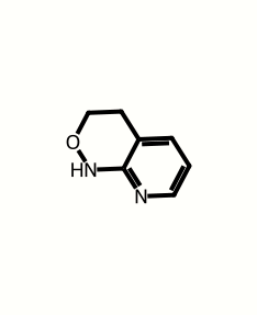 c1cnc2c(c1)CCON2